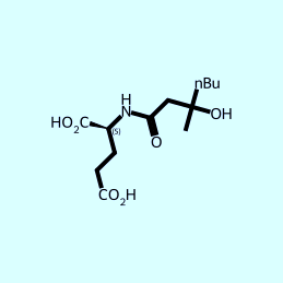 CCCCC(C)(O)CC(=O)N[C@@H](CCC(=O)O)C(=O)O